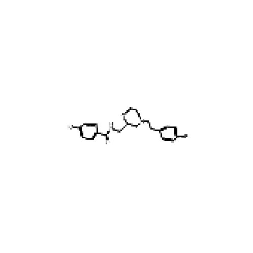 O=C(NC[C@@H]1CN(CCc2ccc(F)cc2)CCO1)c1ccc(O)cc1